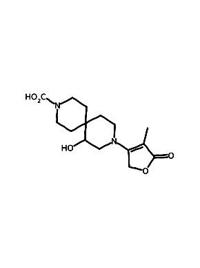 CC1=C(N2CCC3(CCN(C(=O)O)CC3)C(O)C2)COC1=O